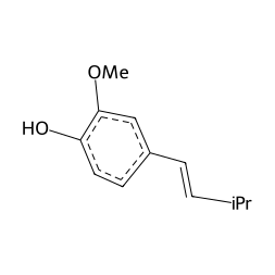 COc1cc(/C=C/C(C)C)ccc1O